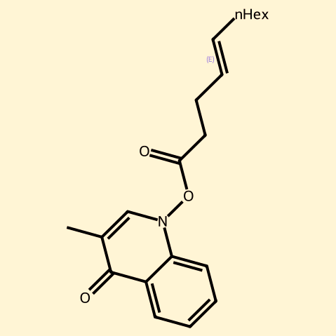 CCCCCC/C=C/CCC(=O)On1cc(C)c(=O)c2ccccc21